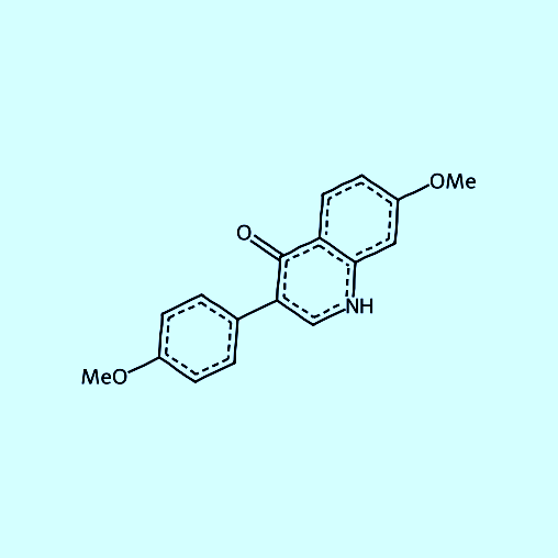 COc1ccc(-c2c[nH]c3cc(OC)ccc3c2=O)cc1